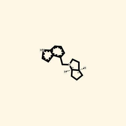 c1cc(CN2CC[C@H]3CCC[C@H]32)c2cc[nH]c2c1